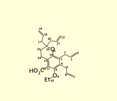 C=CCc1c(CC=C)c(OCC)c(C(=O)O)c2c1OC(CC=C)(CC=C)CC2